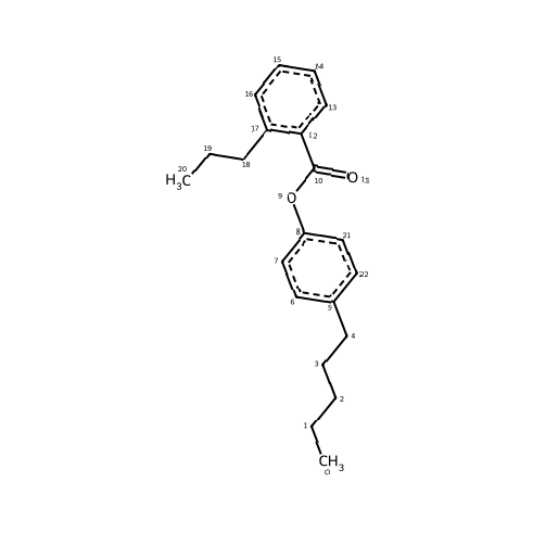 CCCCCc1ccc(OC(=O)c2ccccc2CCC)cc1